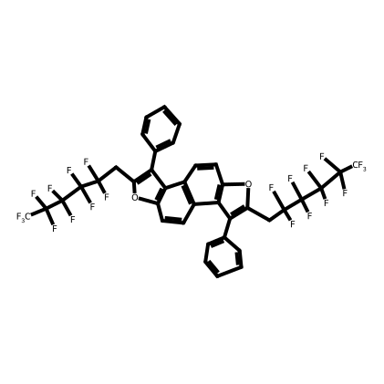 FC(F)(F)C(F)(F)C(F)(F)C(F)(F)C(F)(F)Cc1oc2ccc3c(ccc4oc(CC(F)(F)C(F)(F)C(F)(F)C(F)(F)C(F)(F)F)c(-c5ccccc5)c43)c2c1-c1ccccc1